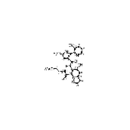 COCCNC(=O)c1c(NC(=O)c2cc(C(F)(F)F)nn2-c2ncccc2Cl)c(C)cc2ccnn12